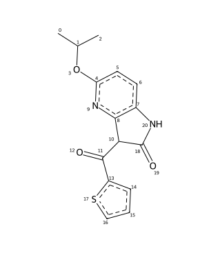 CC(C)Oc1ccc2c(n1)C(C(=O)c1cccs1)C(=O)N2